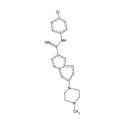 CN1CCN(c2ccc3cc(C(=N)Nc4ccc(Cl)cc4)ccc3c2)CC1